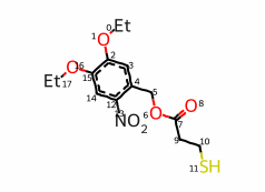 CCOc1cc(COC(=O)CCS)c([N+](=O)[O-])cc1OCC